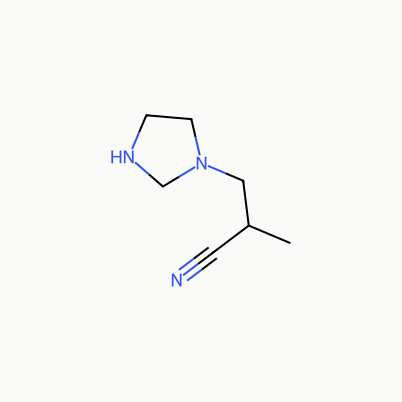 CC(C#N)CN1CCNC1